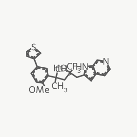 COc1ccc(-c2ccsc2)cc1C(C)(C)CC(O)(Cc1cc2ccncc2[nH]1)C(F)(F)F